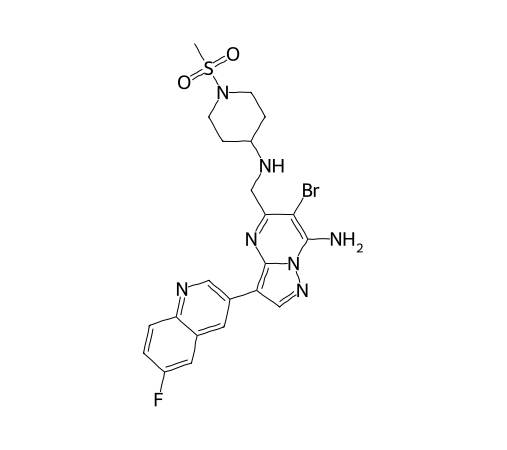 CS(=O)(=O)N1CCC(NCc2nc3c(-c4cnc5ccc(F)cc5c4)cnn3c(N)c2Br)CC1